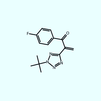 C=C(C(=O)c1ccc(F)cc1)c1nnn(C(C)(C)C)n1